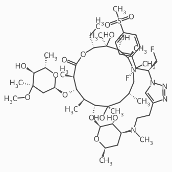 CC[C@H]1OC(=O)[C@H](C)[C@@H](O[C@H]2C[C@@](C)(OC)[C@@H](O)[C@H](C)O2)[C@H](C)[C@@H](O[C@@H]2O[C@H](C)C[C@H](N(C)CCc3cn([C@H](CF)[C@H](F)c4ccc(S(C)(=O)=O)cc4)nn3)[C@H]2O)[C@](C)(O)C[C@@H](C)CN(C)[C@H](C)[C@@H](O)[C@]1(C)O